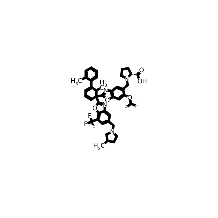 Cc1ccccc1C1=CC=CC(c2nc3cc(CN4CCC[C@@H]4C(=O)O)c(OC(F)F)cc3o2)(c2nc3cc(CN4CCC(C)C4)cc(C(F)(F)F)c3o2)C1C